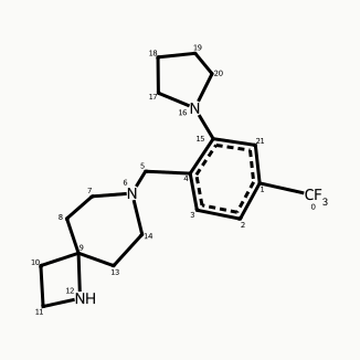 FC(F)(F)c1ccc(CN2CCC3(CCN3)CC2)c(N2CCCC2)c1